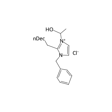 CCCCCCCCCCCc1n(Cc2ccccc2)cc[n+]1C(C)O.[Cl-]